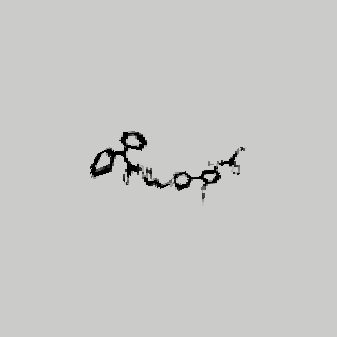 CC(C)C(=O)Nc1ccc(F)c(C2CCN(CCCNC(=O)C(c3ccccc3)c3ccccc3)CC2)c1